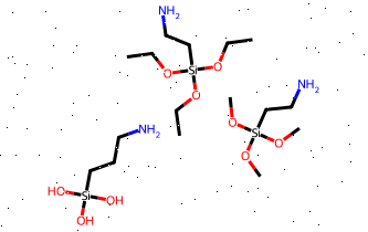 CCO[Si](CCN)(OCC)OCC.CO[Si](CCN)(OC)OC.NCCC[Si](O)(O)O